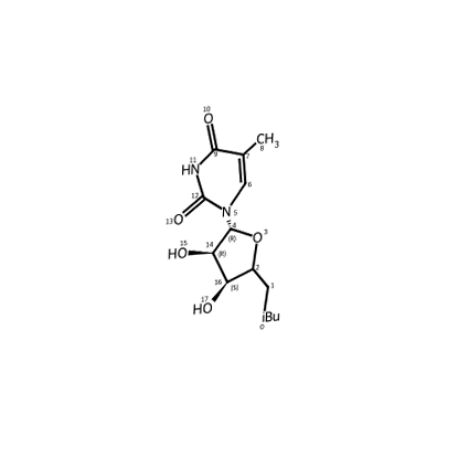 CCC(C)CC1O[C@@H](n2cc(C)c(=O)[nH]c2=O)[C@H](O)[C@@H]1O